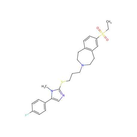 CCS(=O)(=O)c1ccc2c(c1)CCN(CCCSc1ncc(-c3ccc(F)cc3)n1C)CC2